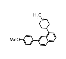 COc1ccc(-c2ccc3cccc(C4CCN(C)CC4)c3c2)cc1